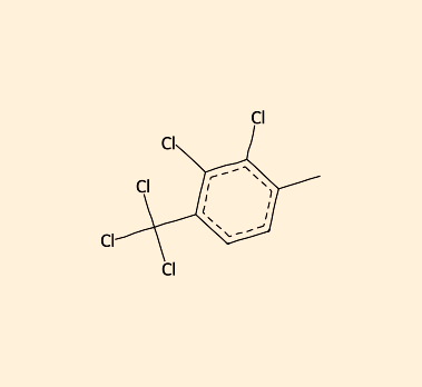 Cc1ccc(C(Cl)(Cl)Cl)c(Cl)c1Cl